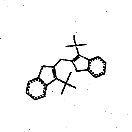 CC(C)(C)C1=C(CC2=C(C(C)(C)C)c3ccccc3[CH]2)[CH]c2ccccc21